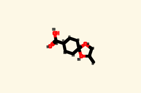 CC1COC2(CCC(C(=O)O)CC2)O1